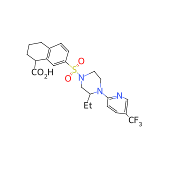 CCC1CN(S(=O)(=O)c2ccc3c(c2)C(C(=O)O)CCC3)CCN1c1ccc(C(F)(F)F)cn1